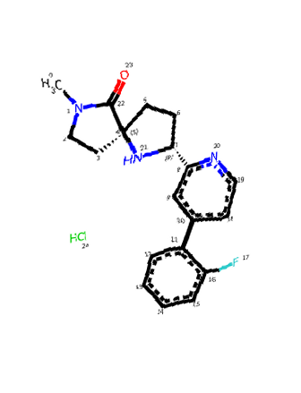 CN1CC[C@@]2(CC[C@H](c3cc(-c4ccccc4F)ccn3)N2)C1=O.Cl